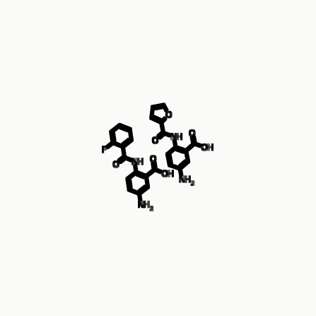 Nc1ccc(NC(=O)c2ccccc2F)c(C(=O)O)c1.Nc1ccc(NC(=O)c2ccco2)c(C(=O)O)c1